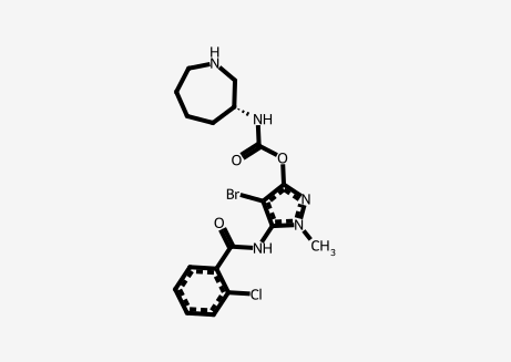 Cn1nc(OC(=O)N[C@@H]2CCCCNC2)c(Br)c1NC(=O)c1ccccc1Cl